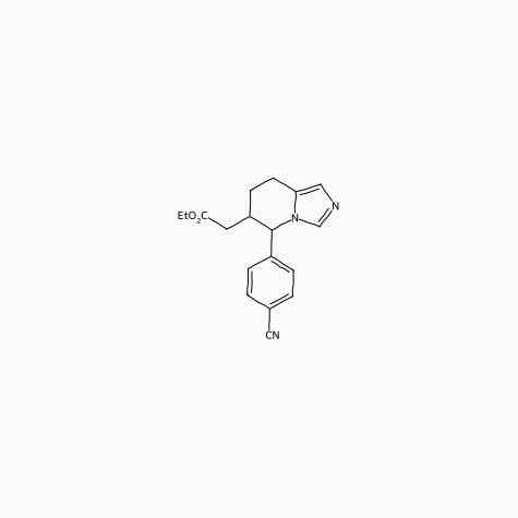 CCOC(=O)CC1CCc2cncn2C1c1ccc(C#N)cc1